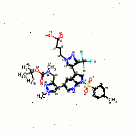 Cc1ccc(S(=O)(=O)n2cc(-c3cn(CCCC(=O)O)nc3C(F)(F)F)c3cc(-c4cn(C)nc4CN(C)C(=O)OC(C)(C)C)cnc32)cc1